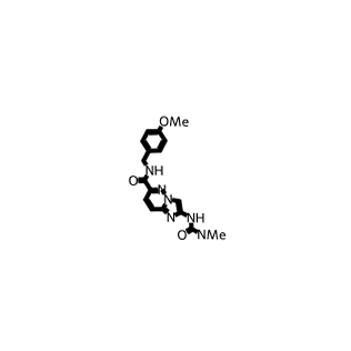 CNC(=O)Nc1cn2nc(C(=O)NCc3ccc(OC)cc3)ccc2n1